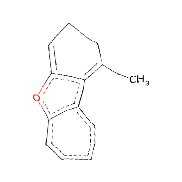 CC1=c2c(oc3ccccc23)=CCC1